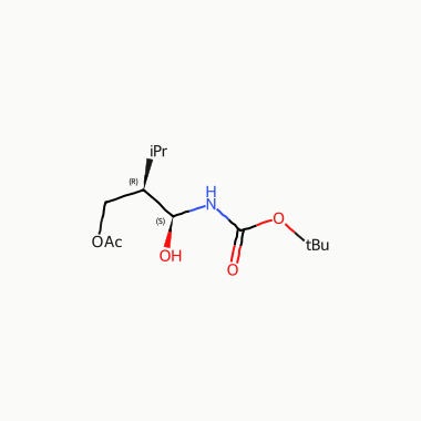 CC(=O)OC[C@@H](C(C)C)[C@H](O)NC(=O)OC(C)(C)C